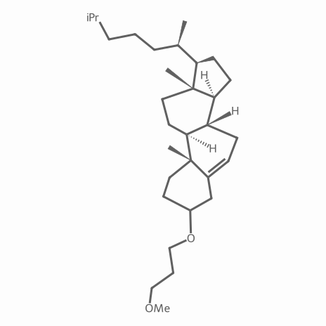 COCCCOC1CC[C@@]2(C)C(=CC[C@H]3[C@@H]4CC[C@H]([C@H](C)CCCC(C)C)[C@@]4(C)CC[C@@H]32)C1